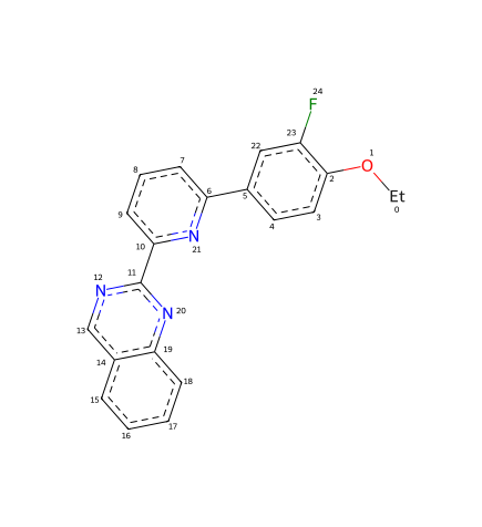 CCOc1ccc(-c2cccc(-c3ncc4ccccc4n3)n2)cc1F